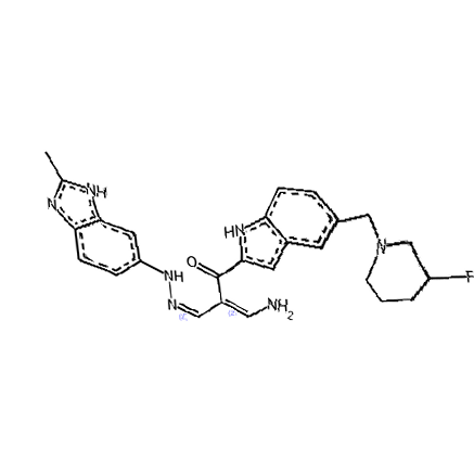 Cc1nc2ccc(N/N=C\C(=C\N)C(=O)c3cc4cc(CN5CCCC(F)C5)ccc4[nH]3)cc2[nH]1